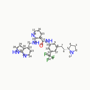 CN1CCC[C@H]1CCc1cc(NC(=O)c2cccnc2NCc2ccnc3[nH]ccc23)cc(C(F)(F)F)c1